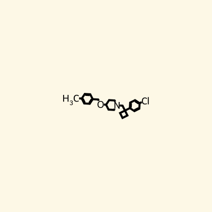 Cc1ccc(COC2CCN(CC3(c4ccc(Cl)cc4)CCC3)CC2)cc1